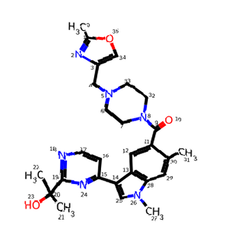 Cc1nc(CN2CCN(C(=O)c3cc4c(-c5ccnc(C(C)(C)O)n5)cn(C)c4cc3C)CC2)co1